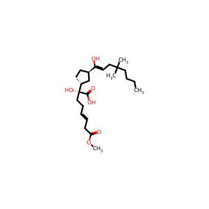 CCCCC(C)(C)CC=C(O)[C@@H]1CC[C@@H]([C@](O)(CCC=CCC(=O)OC)C(=O)O)C1